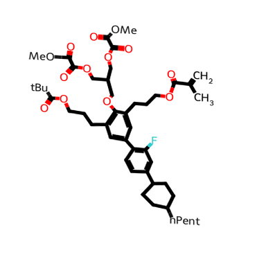 C=C(C)C(=O)OCCCc1cc(-c2ccc(C3CCC(CCCCC)CC3)cc2F)cc(CCCOC(=O)C(C)(C)C)c1OCC(COC(=O)C(=O)OC)COC(=O)C(=O)OC